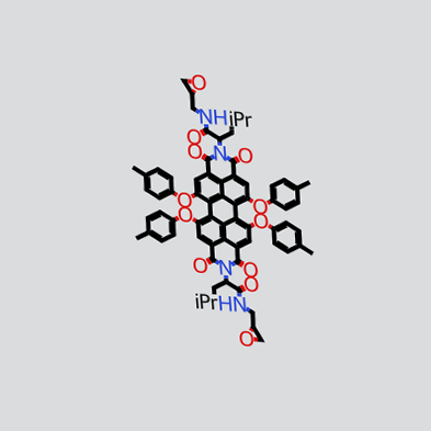 Cc1ccc(Oc2cc3c4c(cc(Oc5ccc(C)cc5)c5c6c(Oc7ccc(C)cc7)cc7c8c(cc(Oc9ccc(C)cc9)c(c2c45)c86)C(=O)N(C(CC(C)C)C(=O)NCC2CO2)C7=O)C(=O)N(C(CC(C)C)C(=O)NCC2CO2)C3=O)cc1